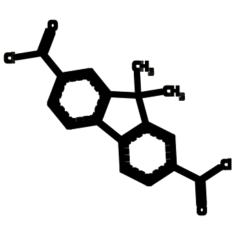 CC1(C)c2cc(C(=O)Cl)ccc2-c2ccc(C(=O)Cl)cc21